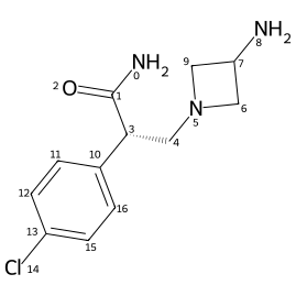 NC(=O)[C@H](CN1CC(N)C1)c1ccc(Cl)cc1